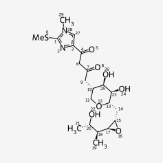 CSc1nc(C(=O)CC(=O)C[C@H]2CO[C@@H](C[C@@H]3O[C@H]3[C@@H](C)[C@H](C)O)[C@H](O)[C@@H]2O)cn1C